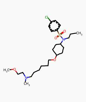 CCCN(C1CCC(OCCCCCCN(C)CCOC)CC1)S(=O)(=O)c1ccc(Cl)cc1